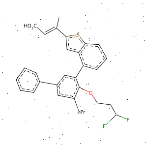 CCCc1cc(-c2ccccc2)cc(-c2cccc3sc(C(C)=CC(=O)O)cc23)c1OCCC(F)F